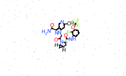 Cc1cc2c(cn1)c(C(N)=O)nn2CC(=O)N1[C@@H]2C[C@@H]2C[C@H]1C(=O)Nc1cccc(OC(F)(F)F)c1F